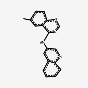 Cc1ccc2ncnc(Nc3cnc4ccccc4c3)c2c1